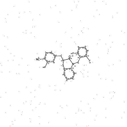 N#Cc1ccc(CN2Sc3ccccc3N(Cc3c(F)cccc3F)C2=O)cc1F